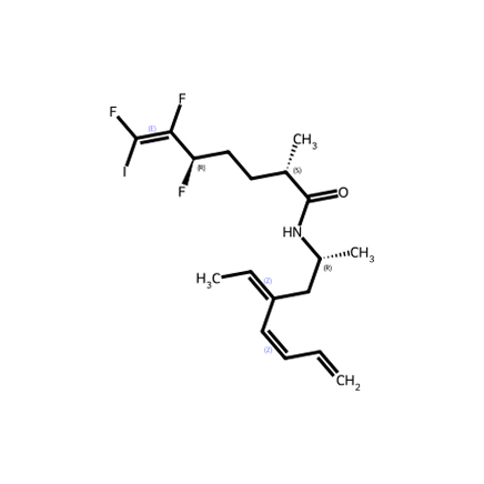 C=C/C=C\C(=C/C)C[C@@H](C)NC(=O)[C@@H](C)CC[C@@H](F)/C(F)=C(/F)I